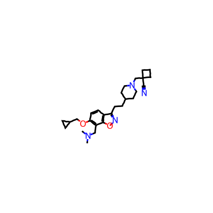 CN(C)Cc1c(OCC2CC2)ccc2c(CCC3CCN(CC4(C#N)CCC4)CC3)noc12